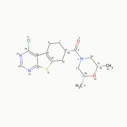 C[C@@H]1CN(C(=O)[C@H]2CCc3c(sc4ncnc(Cl)c34)C2)C[C@H](C)O1